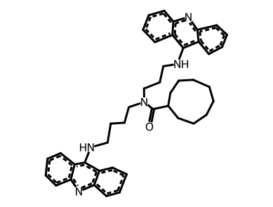 O=C(C1CCCCCCCC1)N(CCCCNc1c2ccccc2nc2ccccc12)CCCNc1c2ccccc2nc2ccccc12